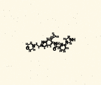 O=C(Nc1cc2cn(CCN3CCOCC3)nc2cc1C1CC1)c1cccc(N2CCNC2)n1